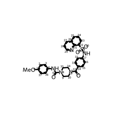 COc1ccc(NC(=O)N2CCN(C(=O)c3ccc(NS(=O)(=O)c4cccc5cccnc45)cc3)CC2)cc1